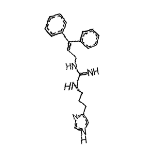 N=C(NCC=C(c1ccccc1)c1ccccc1)NCCCc1c[nH]cn1